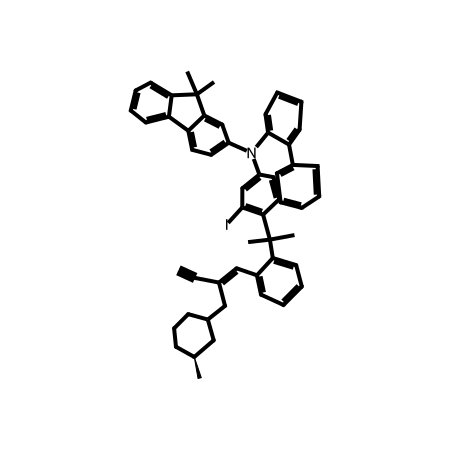 C#C/C(=C/c1ccccc1C(C)(C)c1ccc(N(c2ccc3c(c2)C(C)(C)c2ccccc2-3)c2ccccc2-c2ccccc2)cc1I)CC1CCC[C@H](C)C1